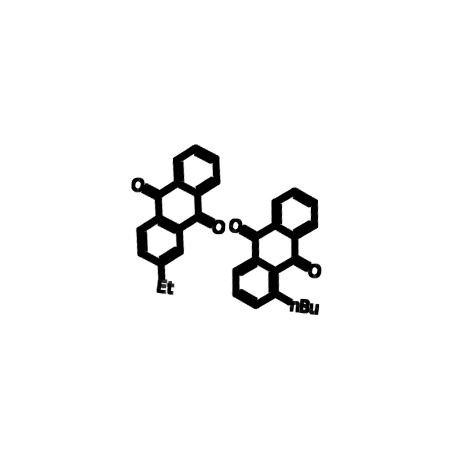 CCCCc1cccc2c1C(=O)c1ccccc1C2=O.CCc1ccc2c(c1)C(=O)c1ccccc1C2=O